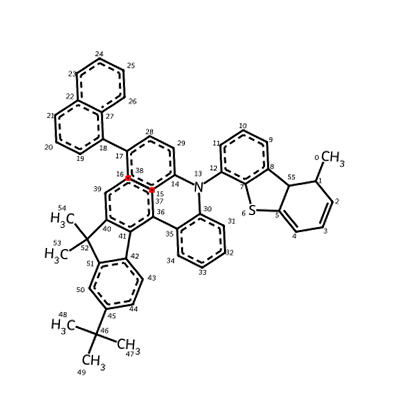 CC1C=CC=C2Sc3c(cccc3N(c3ccc(-c4cccc5ccccc45)cc3)c3ccccc3-c3cccc4c3-c3ccc(C(C)(C)C)cc3C4(C)C)C21